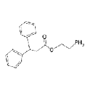 O=C(CC(c1ccccc1)c1ccccc1)OCCP